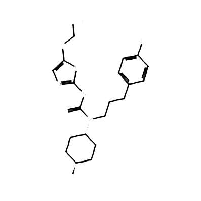 C[C@H]1CC[C@H](N(CCCc2ccc(F)cc2)C(=O)Nc2ncc(SCC(=O)O)s2)CC1